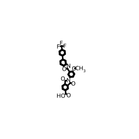 COc1ccc(N2C(=O)c3ccc(C(=O)O)cc3C2=O)cc1-c1nc2cc(-c3ccc(C(F)(F)F)cc3)ccc2o1